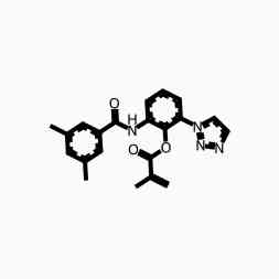 C=C(C)C(=O)Oc1c(NC(=O)c2cc(C)cc(C)c2)cccc1-n1ccnn1